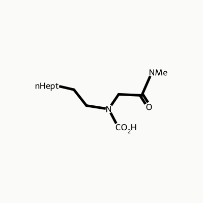 CCCCCCCCCN(CC(=O)NC)C(=O)O